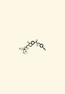 CC(C)(C)OC(=O)CN1CCc2cc(C(=O)NCc3ccc(C#N)cc3)ccc2C1=O